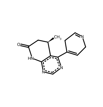 C[C@@H]1CC(=O)Nc2ncnc(C3=CCN=CC3)c21